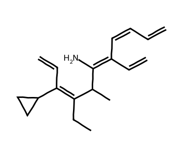 C=C/C=C\C(C=C)=C(/N)C(C)/C(CC)=C(\C=C)C1CC1